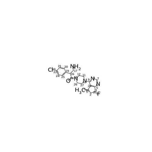 C[C@@H]1C[C@@H](F)c2ncnc(N3CCN(C(=O)C(CN)c4ccc(Cl)cc4)CC3)c21